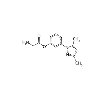 Cc1cc(C)n(-c2cccc(OC(=O)CN)c2)n1